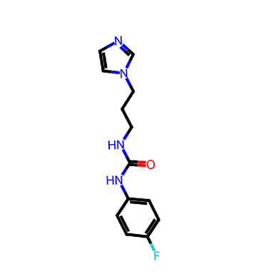 O=C(NCCCn1ccnc1)Nc1ccc(F)cc1